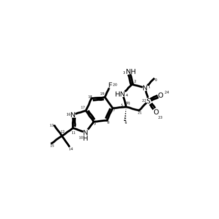 CN1C(=N)N[C@](C)(c2cc3[nH]c(C(C)(C)C)nc3cc2F)CS1(=O)=O